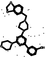 Oc1cccc(-c2cc(N3CCN(Cc4ccc5c(c4)OCO5)CC3)nc(N3CCOCC3)n2)c1